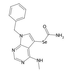 CNc1ncnc2c1c([Se]C(N)=O)cn2Cc1ccccc1